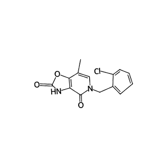 Cc1cn(Cc2ccccc2Cl)c(=O)c2[nH]c(=O)oc12